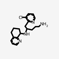 NCCCC(Cc1ncccc1Cl)NC1CCCc2cccnc21